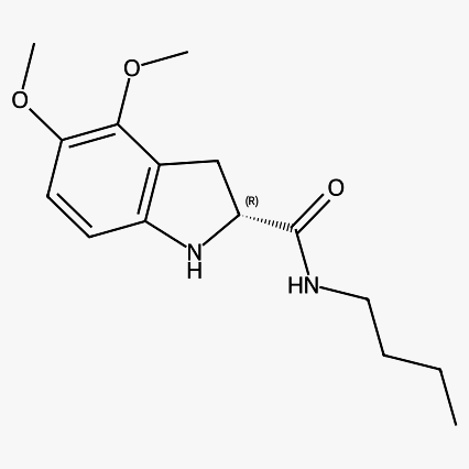 CCCCNC(=O)[C@H]1Cc2c(ccc(OC)c2OC)N1